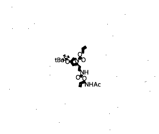 C=CCOC(=O)N1C[C@H](O[Si](C)(C)C(C)(C)C)C[C@@H]1CCNC(=O)OC(C=C)NC(C)=O